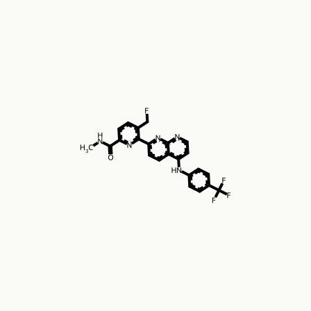 CNC(=O)c1ccc(CF)c(-c2ccc3c(Nc4ccc(C(F)(F)F)cc4)ccnc3n2)n1